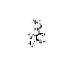 C[C@@H](O)[C@H](N)C(=O)NC[C]=O